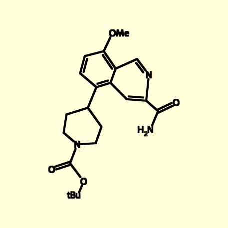 COc1ccc(C2CCN(C(=O)OC(C)(C)C)CC2)c2cc(C(N)=O)ncc12